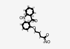 O=NC(=O)CCCOc1ccccc1C(=O)c1ccccc1N=O